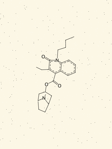 CCCCn1c(=O)c(CC)c(C(=O)OC2CC3CCC(C2)N3C)c2ccccc21